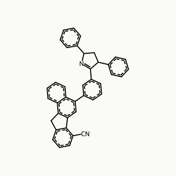 N#Cc1cccc2c1-c1cc(-c3cccc(C4=NC(c5ccccc5)CC4c4ccccc4)c3)c3ccccc3c1C2